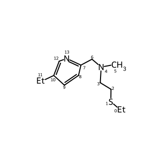 CCSCCN(C)Cc1ccc(CC)cn1